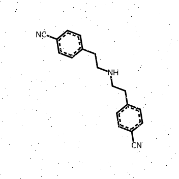 N#Cc1ccc(CCNCCc2ccc(C#N)cc2)cc1